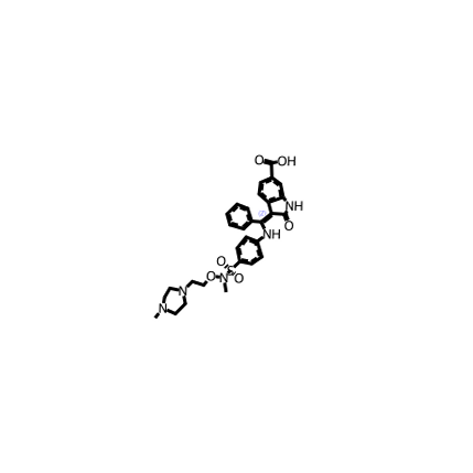 CN1CCN(CCON(C)S(=O)(=O)c2ccc(N/C(=C3\C(=O)Nc4cc(C(=O)O)ccc43)c3ccccc3)cc2)CC1